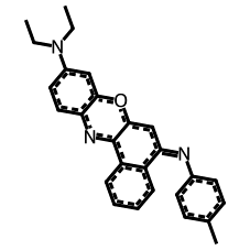 CCN(CC)c1ccc2nc3c4ccccc4/c(=N\c4ccc(C)cc4)cc-3oc2c1